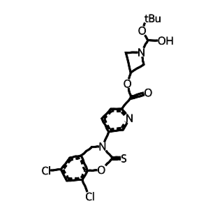 CC(C)(C)OC(O)N1CC(OC(=O)c2ccc(N3Cc4cc(Cl)cc(Cl)c4OC3=S)cn2)C1